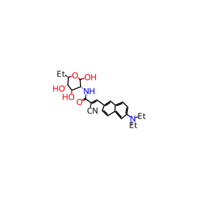 CC[C@H]1OC(O)[C@H](NC(=O)/C(C#N)=C/c2ccc3cc(N(CC)CC)ccc3c2)[C@@H](O)[C@@H]1O